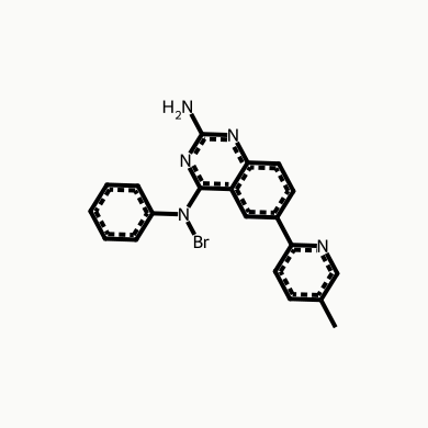 Cc1ccc(-c2ccc3nc(N)nc(N(Br)c4ccccc4)c3c2)nc1